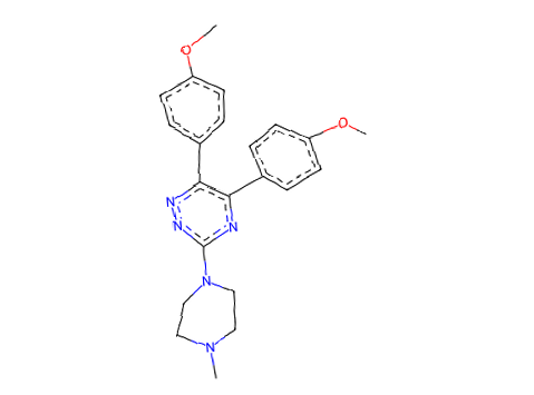 COc1ccc(-c2nnc(N3CCN(C)CC3)nc2-c2ccc(OC)cc2)cc1